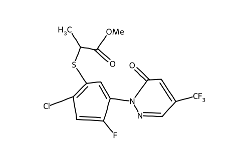 COC(=O)C(C)Sc1cc(-n2ncc(C(F)(F)F)cc2=O)c(F)cc1Cl